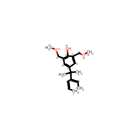 C/C=C\C(=C/C)C(C)(C)c1cc(COC)c(O)c(COC)c1